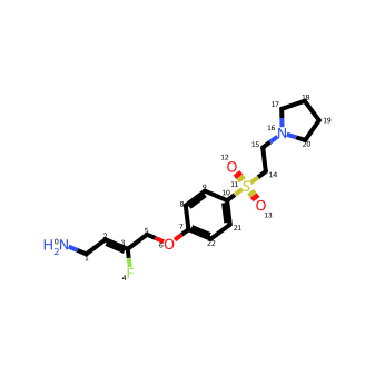 NC/C=C(\F)COc1ccc(S(=O)(=O)CCN2CCCC2)cc1